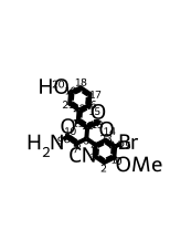 COc1ccc(C2C(C#N)=C(N)Oc3c2c(=O)oc2ccc(O)cc32)cc1Br